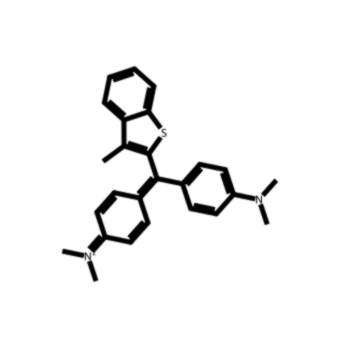 Cc1c(C(=C2C=CC(=[N+](C)C)C=C2)c2ccc(N(C)C)cc2)sc2ccccc12